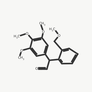 COCc1ccccc1C([C]=O)c1cc(OC)c(OC)c(OC)c1